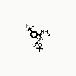 CC(C)(C)OC(=O)n1nc(N)c2cc(C(F)(F)F)ccc21